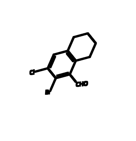 O=Cc1c(Br)c(Cl)cc2c1CCCC2